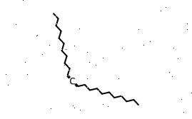 CCCCCCCCCCC=C=CCCCCCCCCCC